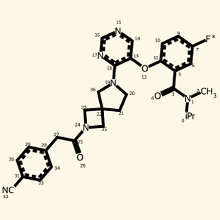 CC(C)N(C)C(=O)c1cc(F)ccc1Oc1cncnc1N1CCC2(CN(C(=O)Cc3ccc(C#N)cc3)C2)C1